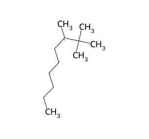 CCCCCC[C](C)C(C)(C)C